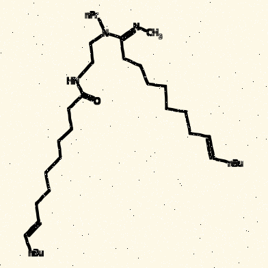 CCCC/C=C/CCCCCCCC(=O)NCCN(CCC)/C(CCCCCCC/C=C/CCCC)=N/C